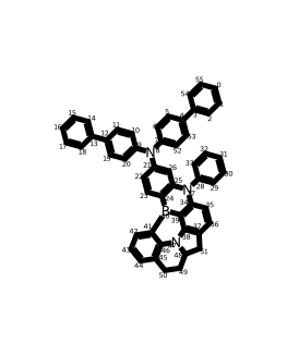 c1ccc(-c2ccc(N(c3ccc(-c4ccccc4)cc3)c3ccc4c(c3)N(c3ccccc3)c3ccc5c6c3B4c3cccc4c3N6C(CC4)C5)cc2)cc1